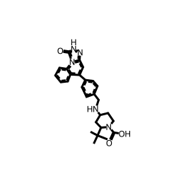 CC(C)(C)C1CC(NCc2ccc(-c3cc4n[nH]c(=O)n4c4ccccc34)cc2)CCN1C(=O)O